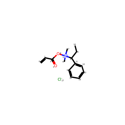 C=CC(=O)O[N+](C)(C)C(CC)c1ccccc1.[Cl-]